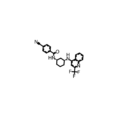 N#Cc1ccc(C(=O)N[C@@H]2CCC[C@H](Nc3cc(C(F)(F)F)nc4ccccc34)C2)cc1